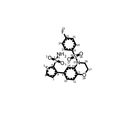 NS(=O)(=O)c1sccc1-c1ccc2c(c1)N(S(=O)(=O)c1ccc(F)cc1)CCO2